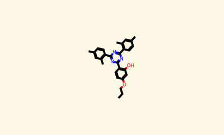 CCCOc1ccc(-c2nc(-c3ccc(C)cc3C)nc(-c3ccc(C)cc3C)n2)c(O)c1